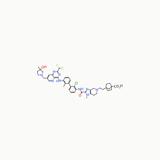 Cc1c(Nc2nc(C(F)F)nc3cc(CN4CCC(C)(O)C4)cnc23)cccc1-c1cccc(NC(=O)c2nc3c(n2C)CCN(CCC24CCC(C(=O)O)(CC2)C4)C3)c1Cl